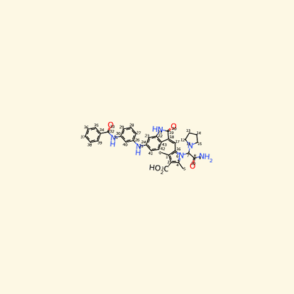 Cc1c(C(=O)O)c(C)n(C(C(N)=O)N2CCCC2)c1C=C1C(=O)Nc2cc(Nc3cccc(NC(=O)c4ccccc4)c3)ccc21